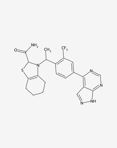 CC(c1ccc(-c2ncnc3[nH]ncc23)cc1C(F)(F)F)N1C2=C(CCCC2)SC1C(N)=O